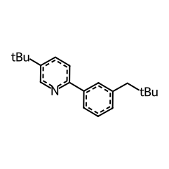 CC(C)(C)Cc1cccc(-c2ccc(C(C)(C)C)cn2)c1